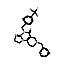 O=C1C2=C(CCN(Cc3ccccc3)C2)N2CCN=C2N1Cc1ccc(C(F)(F)F)cc1